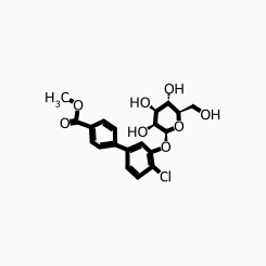 COC(=O)c1ccc(-c2ccc(Cl)c(O[C@@H]3O[C@H](CO)[C@@H](O)[C@H](O)[C@@H]3O)c2)cc1